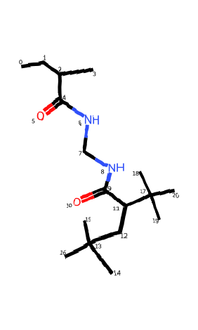 CCC(C)C(=O)NCNC(=O)C(CC(C)(C)C)C(C)(C)C